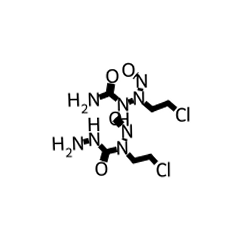 NC(=O)NN(CCCl)N=O.NNC(=O)N(CCCl)N=O